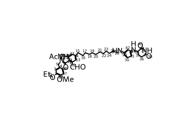 CCOc1cc(CN(C)C(=O)c2c(C=O)cc(CCCCCCCCCCCCNc3cccc(NC4CCC(=O)NC4=O)c3)cc2NC(C)=O)ccc1OC